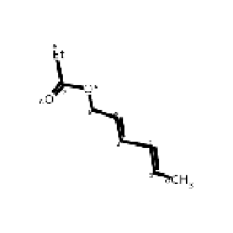 CC=CC=CCOC(=O)CC